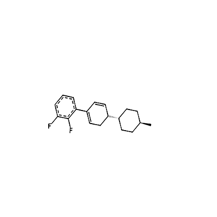 C[C@H]1CC[C@H](C2C=CC(c3cccc(F)c3F)=CC2)CC1